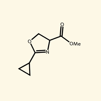 COC(=O)C1COC(C2CC2)=N1